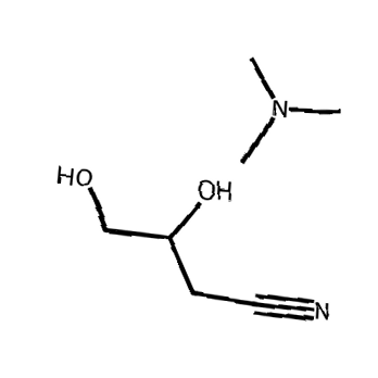 CN(C)C.N#CCC(O)CO